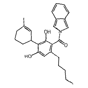 CCCCCc1cc(O)c(C2C=C(C)CCC2)c(O)c1C(=O)n1cc2ccccc2c1